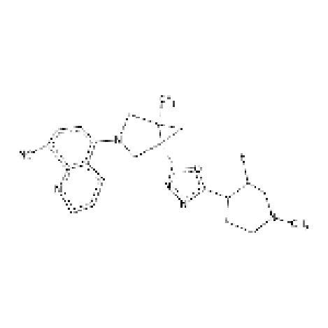 CN1CCC(c2nnc([C@]34CN(c5ccc(C#N)c6ncccc56)C[C@@]3(C(F)(F)F)C4)o2)C(F)C1